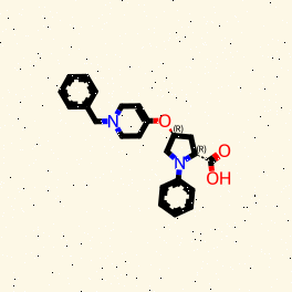 O=C(O)[C@H]1C[C@@H](OC2=CCN(Cc3ccccc3)CC2)CN1c1ccccc1